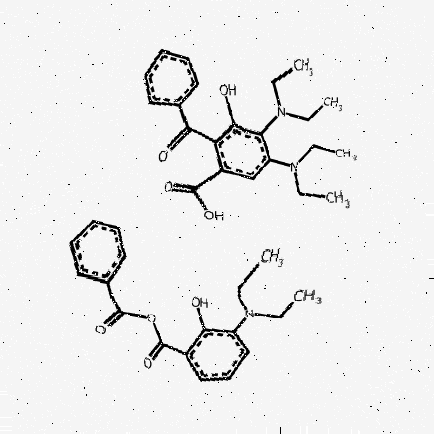 CCN(CC)c1cc(C(=O)O)c(C(=O)c2ccccc2)c(O)c1N(CC)CC.CCN(CC)c1cccc(C(=O)OC(=O)c2ccccc2)c1O